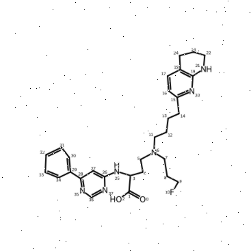 O=C(O)C(CCN(CCCF)CCCCc1ccc2c(n1)NCCC2)Nc1cc(-c2ccccc2)ncn1